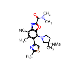 CN[C@@]1(C)CCN(c2c(-c3csc(C)n3)c(C)c(C#N)c3nc(C(=O)N(C)C)oc23)C1